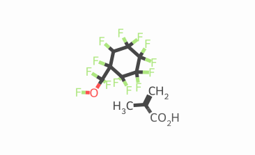 C=C(C)C(=O)O.FOC(F)(F)C1(F)C(F)C(F)(F)C(F)(F)C(F)(F)C1(F)F